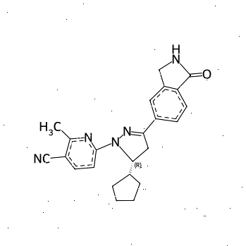 Cc1nc(N2N=C(c3ccc4c(c3)CNC4=O)C[C@@H]2C2CCCC2)ccc1C#N